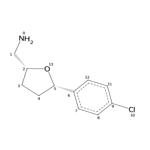 NC[C@H]1CC[C@@H](c2ccc(Cl)cc2)O1